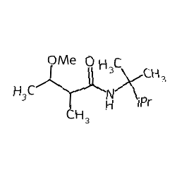 COC(C)C(C)C(=O)NC(C)(C)C(C)C